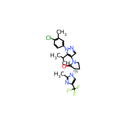 Cc1cc(-n2ncc(N3CC[C@H](n4cc(C(F)(F)F)nc4C)C3=O)c2C(C)C)ccc1Cl